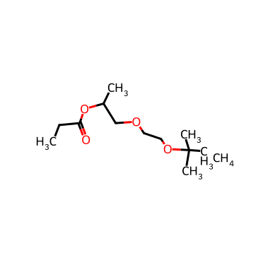 C.CCC(=O)OC(C)COCCOC(C)(C)C